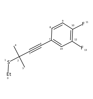 CCSC(C)(C)C#Cc1ccc(F)c(F)c1